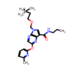 CCCNC(=O)c1cn(COCC[Si](C)(C)C)c2ncc(Oc3cccc(C)n3)nc12